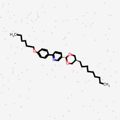 CCCCCCCCC[C@H]1CO[C@H](c2ccc(-c3ccc(OCCCCCC)cc3)nc2)OC1